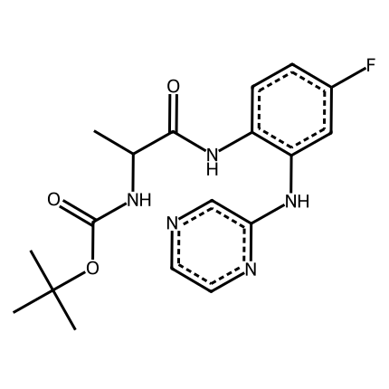 CC(NC(=O)OC(C)(C)C)C(=O)Nc1ccc(F)cc1Nc1cnccn1